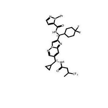 CC(C)n1nccc1C(=O)N[C@H](c1cn2ncc([C@H](NC(=O)CC(C)C(F)(F)F)C3CC3)cc2n1)C1CCC(F)(F)CC1